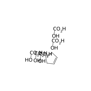 C1=CCC=C1.O=C(O)O.O=C(O)O.O=C(O)O.O=C(O)O.O=C(O)O